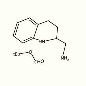 CC(C)(C)OC=O.NCC1CCc2ccccc2N1